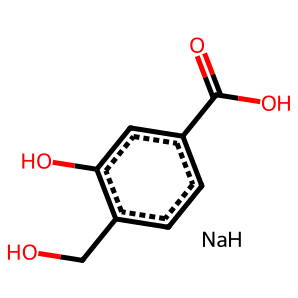 O=C(O)c1ccc(CO)c(O)c1.[NaH]